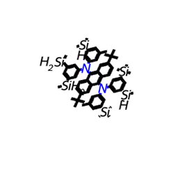 C[SiH2]c1cc([SiH2]C)cc(N(c2cc(C)cc([SiH](C)C)c2)c2c3ccc(C(C)(C)C)cc3c(N(c3cc(C)cc([Si](C)(C)C)c3)c3cc([SiH](C)C)cc([Si](C)(C)C)c3)c3ccc(C(C)(C)C)cc23)c1